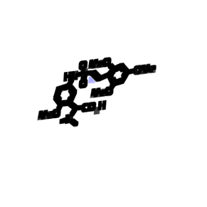 COc1cc(OC)c(/C=C/S(=O)(=O)Nc2ccc(OC)c(C(C(=O)O)N(C)C)c2)c(OC)c1